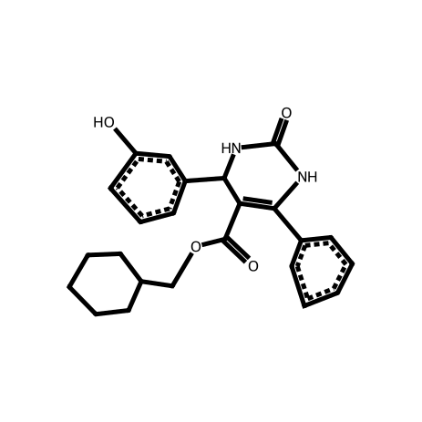 O=C1NC(c2ccccc2)=C(C(=O)OCC2CCCCC2)C(c2cccc(O)c2)N1